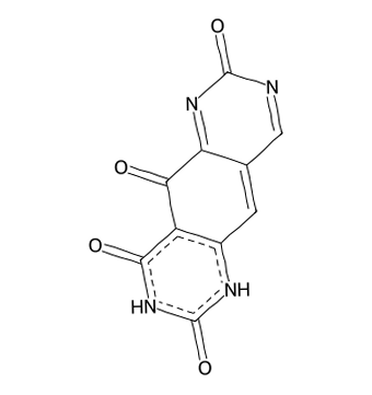 O=C1N=CC2=Cc3[nH]c(=O)[nH]c(=O)c3C(=O)C2=N1